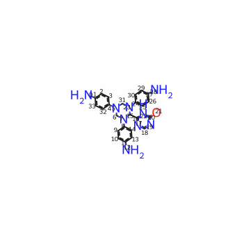 Nc1ccc(N2CN(c3ccc(N)cc3)C(c3ncnc(=O)[nH]3)N(c3ccc(N)cc3)C2)cc1